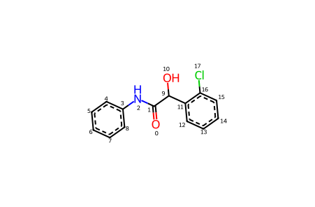 O=C(Nc1ccccc1)C(O)c1ccccc1Cl